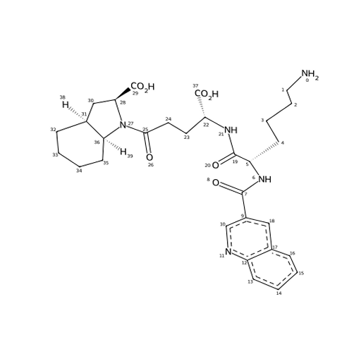 NCCCC[C@H](NC(=O)c1cnc2ccccc2c1)C(=O)N[C@H](CCC(=O)N1[C@H](C(=O)O)C[C@@H]2CCCC[C@@H]21)C(=O)O